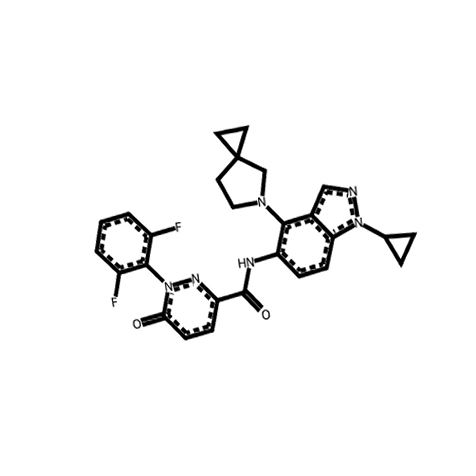 O=C(Nc1ccc2c(cnn2C2CC2)c1N1CCC2(CC2)C1)c1ccc(=O)n(-c2c(F)cccc2F)n1